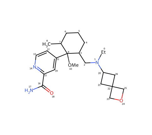 CCN(CC1CCCC(C)C1(OC)c1ccnc(C(N)=O)c1)C1CC2(COC2)C1